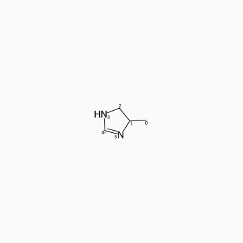 CC1CN[C]=N1